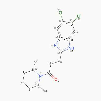 C[C@@H]1CCC[C@H](C)N1C(=O)CCc1nc2cc(Cl)c(Cl)cc2[nH]1